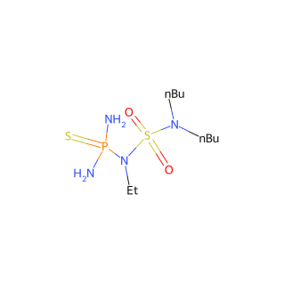 CCCCN(CCCC)S(=O)(=O)N(CC)P(N)(N)=S